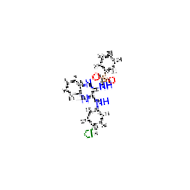 O=S(=O)(Nc1nc2ccccc2nc1Nc1ccc(Cl)cc1)c1cc[c]cc1